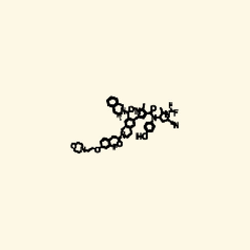 Cc1c(C(=O)N(c2ccc(O)cc2)C2CC(C#N)N(C(F)F)C2C)cc(-c2cc3c(cc2C(=O)N2Cc4ccccc4C[C@H]2C)CN(C(=O)Cc2ccc(OCCN4CCOCC4)cc2F)CC3)n1C